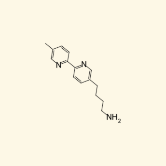 Cc1ccc(-c2ccc(CCCCN)cn2)nc1